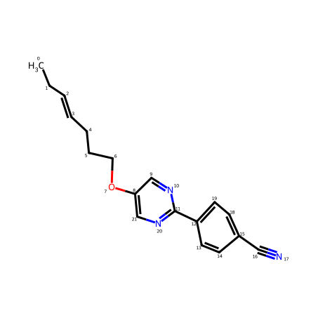 CCC=CCCCOc1cnc(-c2ccc(C#N)cc2)nc1